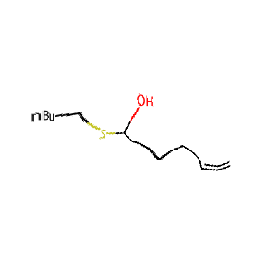 C=CCCC(O)SCCCCC